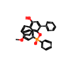 COc1ccc2c(O)cc(-c3ccccc3)c(OP(=O)(c3ccccc3)c3ccccc3)c2c1